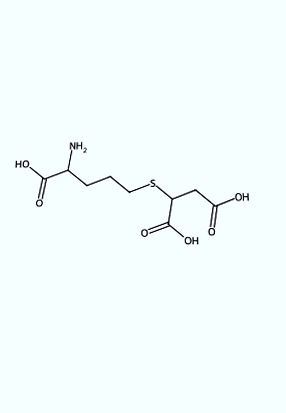 NC(CCCSC(CC(=O)O)C(=O)O)C(=O)O